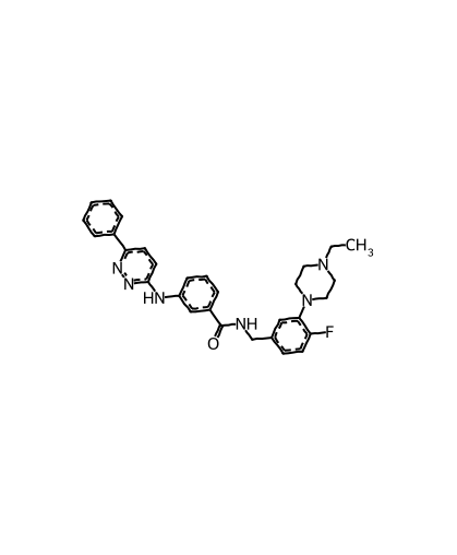 CCN1CCN(c2cc(CNC(=O)c3cccc(Nc4ccc(-c5ccccc5)nn4)c3)ccc2F)CC1